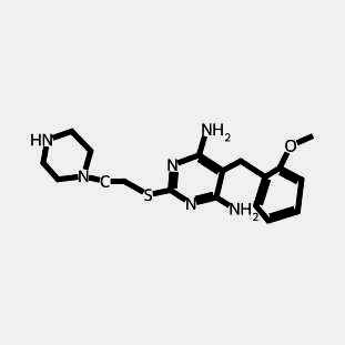 COc1ccccc1Cc1c(N)nc(SCCN2CCNCC2)nc1N